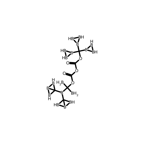 BC(B)(OC(=O)OC(=O)OC(B1BB1)(B1BB1)B1BB1)B(C12BB1B2)C12BB1B2